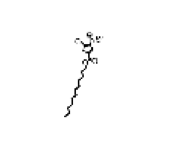 CCCCCCCCCCCCOC(=O)c1cc([N+](=O)[O-])c(Cl)s1